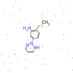 CSCc1ccc(N2N=CC=CN2)cc1N